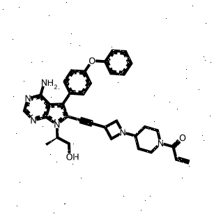 C=CC(=O)N1CCC(N2CC(C#Cc3c(-c4ccc(Oc5ccccc5)cc4)c4c(N)ncnc4n3[C@H](C)CO)C2)CC1